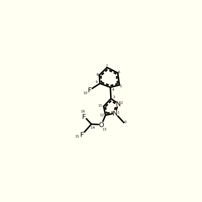 Cn1nc(-c2ccccc2F)cc1OC(F)F